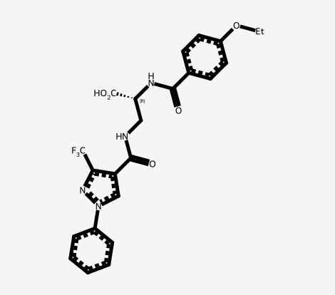 CCOc1ccc(C(=O)N[C@H](CNC(=O)c2cn(-c3ccccc3)nc2C(F)(F)F)C(=O)O)cc1